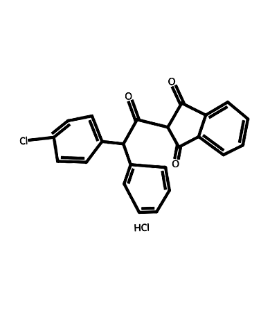 Cl.O=C1c2ccccc2C(=O)C1C(=O)C(c1ccccc1)c1ccc(Cl)cc1